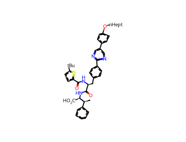 CCCCCCCOc1ccc(-c2cnc(-c3ccc(C[C@H](NC(=O)c4ccc(C(C)(C)C)s4)C(=O)N[C@H](C(=O)O)[C@@H](C)c4ccccc4)cc3)nc2)cc1